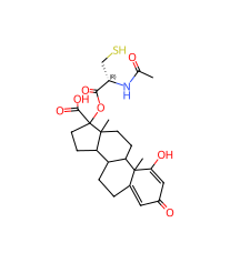 CC(=O)N[C@@H](CS)C(=O)OC1(C(=O)O)CCC2C3CCC4=CC(=O)C=C(O)C4(C)C3CCC21C